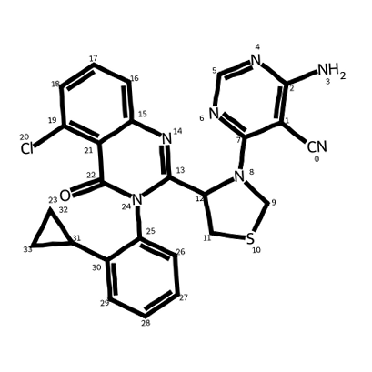 N#Cc1c(N)ncnc1N1CSCC1c1nc2cccc(Cl)c2c(=O)n1-c1ccccc1C1CC1